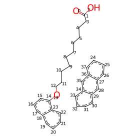 O=C(O)CCCCCCCCCCOc1cccc2ccccc12.c1ccc2cc3ccccc3cc2c1